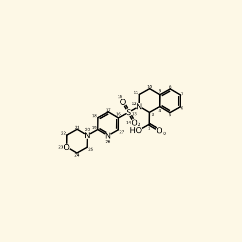 O=C(O)C1c2ccccc2CCN1S(=O)(=O)c1ccc(N2CCOCC2)nc1